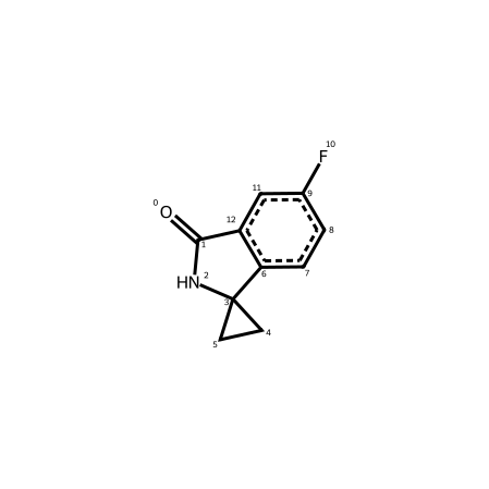 O=C1NC2(CC2)c2ccc(F)cc21